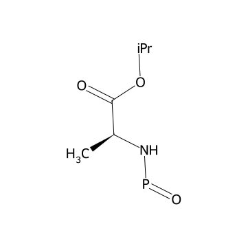 CC(C)OC(=O)[C@H](C)NP=O